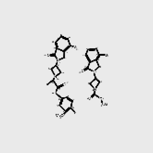 CC(C)(C)OC(=O)N1CC(N2Cc3c(Br)cccc3C2=O)C1.COc1cc(NC(=O)C(C)N2CC(N3Cc4c(Br)cccc4C3=O)C2)ccc1C